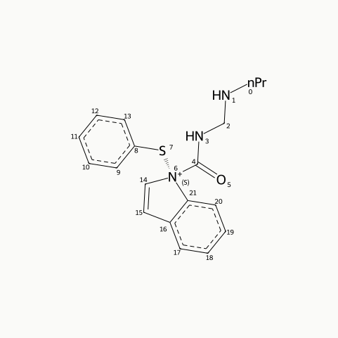 CCCNCNC(=O)[N@+]1(Sc2ccccc2)C=Cc2ccccc21